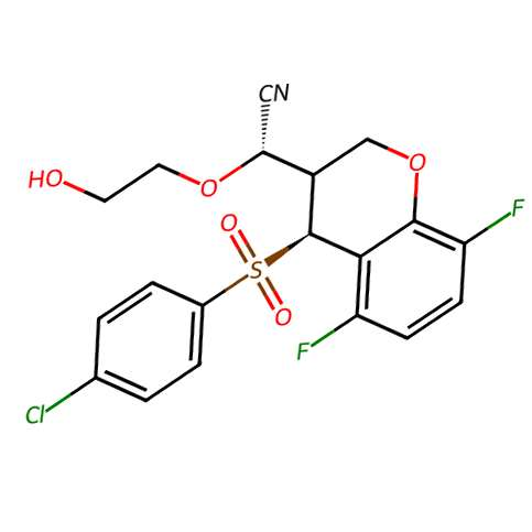 N#C[C@@H](OCCO)C1COc2c(F)ccc(F)c2[C@H]1S(=O)(=O)c1ccc(Cl)cc1